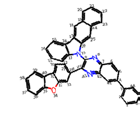 c1ccc(-c2ccc3nc(-n4c5ccccc5c5cc6ccccc6cc54)c(-c4ccc5c(c4)oc4ccccc45)nc3c2)cc1